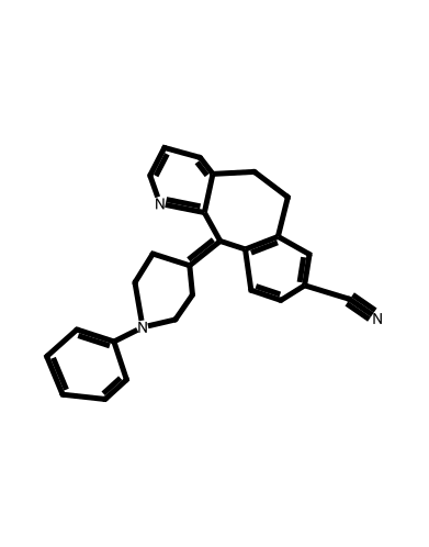 N#Cc1ccc2c(c1)CCc1cccnc1C2=C1CCN(c2ccccc2)CC1